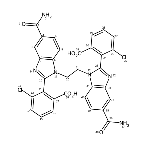 NC(=O)c1ccc2c(c1)nc(-c1c(Cl)cccc1C(=O)O)n2CCn1c(-c2c(Cl)cccc2C(=O)O)nc2cc(C(N)=O)ccc21